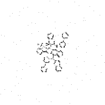 CC1(C)c2ccccc2-c2cc3c(N(c4cccc(-c5ccccc5)c4)c4ccc5ccccc5c4)c4ccccc4c(N(c4cccc(-c5ccccc5)c4)c4ccc5ccccc5c4)c3cc21